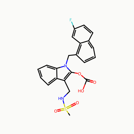 CS(=O)(=O)NCc1c(OC(=O)O)n(Cc2cccc3ccc(F)cc23)c2ccccc12